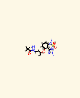 CC(CCNC(=O)C(C)(C)C)Oc1cccc2c1C(N)=NS(=O)(=O)N2